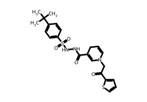 CC(C)(C)c1ccc(S(=O)(=O)NNC(=O)C2=CN(CC(=O)c3cccs3)C=CC2)cc1